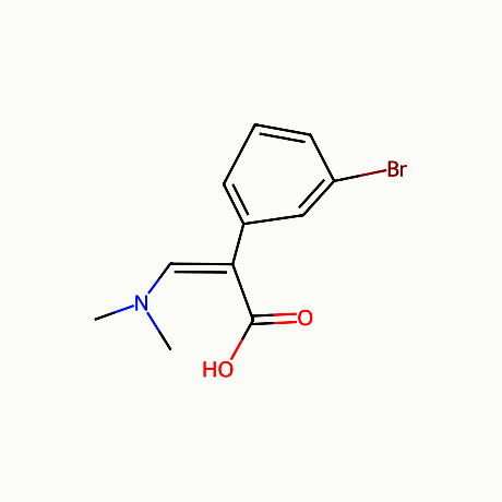 CN(C)C=C(C(=O)O)c1cccc(Br)c1